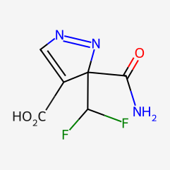 NC(=O)C1(C(F)F)N=NC=C1C(=O)O